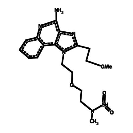 COCCc1nc2c(N)nc3ccccc3c2n1CCOCCN(C)[SH](=O)=O